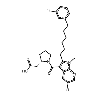 Cn1c(CCCCCCc2cccc(Cl)c2)c(C(=O)N2CCC[C@H]2CC(=O)O)c2cc(Cl)ccc21